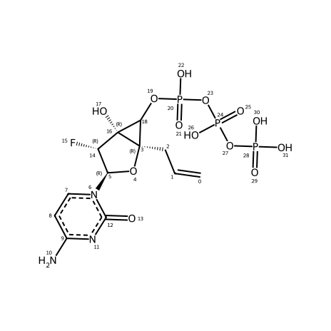 C=CC[C@]12O[C@@H](n3ccc(N)nc3=O)[C@H](F)[C@@]1(O)C2OP(=O)(O)OP(=O)(O)OP(=O)(O)O